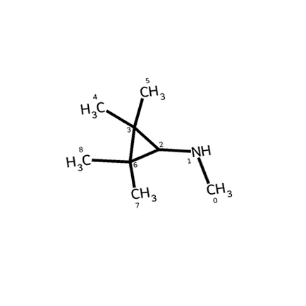 CNC1C(C)(C)C1(C)C